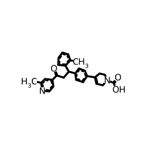 Cc1cc(C(=O)CC(c2ccc(C3=CCN(C(=O)O)CC3)cc2)c2ccccc2C)ccn1